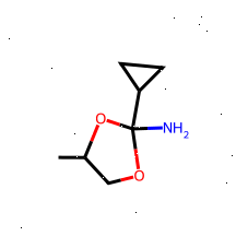 CC1COC(N)(C2CC2)O1